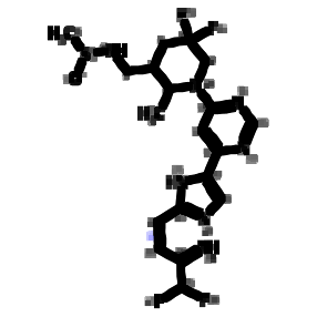 CC1C(CN[S+](C)[O-])CC(F)(F)CN1c1cc(-c2cnc(/C=C\C(=N)C(F)F)[nH]2)ncn1